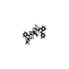 COC1=C(C(=O)OC(c2ccccc2)c2ccccc2)N2C(=O)[C@@H](NC(=O)C(NC(=O)OC(C)(C)C)C3=CCC=CC3)[C@@H]2SC1